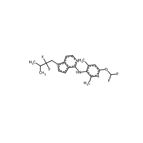 Cc1cc(OC(F)F)nc(C)c1Nc1nccc2c1ccn2CC(F)(F)C(C)C